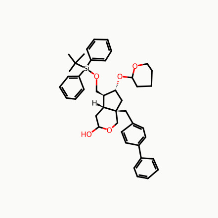 CC(C)(C)[Si](OC[C@@H]1[C@H]2CC(O)OC[C@@]2(Cc2ccc(-c3ccccc3)cc2)C[C@H]1OC1CCCCO1)(c1ccccc1)c1ccccc1